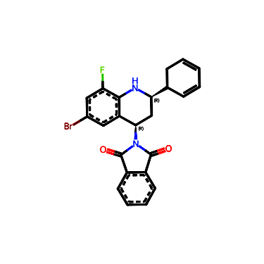 O=C1c2ccccc2C(=O)N1[C@@H]1C[C@H](C2C=CC=CC2)Nc2c(F)cc(Br)cc21